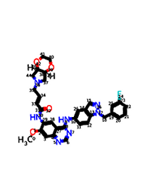 COc1cc2ncnc(Nc3ccc4c(cnn4Cc4cccc(F)c4)c3)c2cc1NC(=O)C=CCN1C[C@@H]2OCCO[C@@H]2C1